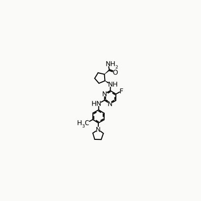 Cc1cc(Nc2ncc(F)c(N[C@H]3CCC[C@H]3C(N)=O)n2)ccc1N1CCCC1